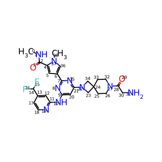 CNC(=O)c1cc(-c2nc(Nc3cc(C(F)F)ccn3)cc(N3CC4(CCN(C(=O)CN)CC4)C3)n2)cn1C